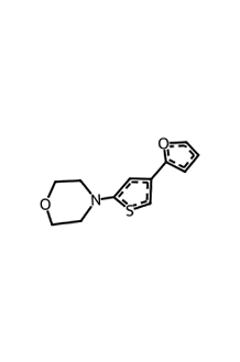 c1coc(-c2csc(N3CCOCC3)c2)c1